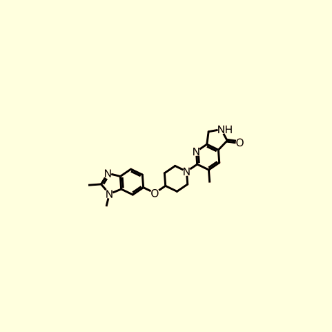 Cc1cc2c(nc1N1CCC(Oc3ccc4nc(C)n(C)c4c3)CC1)CNC2=O